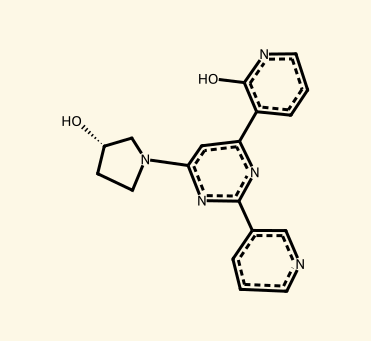 Oc1ncccc1-c1cc(N2CC[C@H](O)C2)nc(-c2cccnc2)n1